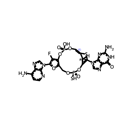 Nc1nc2c(ncn2C2=C3OP(=O)(S)OCc4oc(-n5cnc6c(N)ccnc65)c(F)c4OP(=O)(O)O/C=C(/S2)[C@@H]3F)c(=O)[nH]1